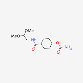 COC(CNC(=O)C1CCC(OC(N)=O)CC1)OC